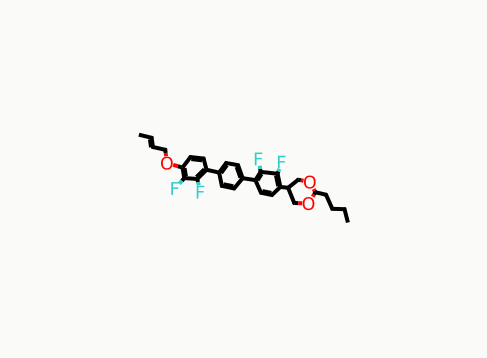 C/C=C/COc1ccc(-c2ccc(-c3ccc(C4COC(CCCC)OC4)c(F)c3F)cc2)c(F)c1F